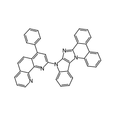 c1ccc(-c2cc(-n3c4ccccc4c4c3nc3c5ccccc5c5ccccc5n34)nc3c2ccc2cccnc23)cc1